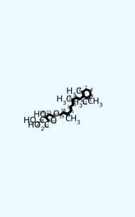 CC(C=CC1=C(C)CCCC1(C)C)=CC=CC(C)=CCOC(=O)CC(O)(CC(=O)O)C(=O)O